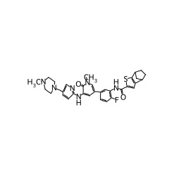 CN1CCN(c2ccc(Nc3cc(-c4ccc(F)c(NC(=O)c5cc6c(s5)C5CCC6C5)c4)cn(C)c3=O)nc2)CC1